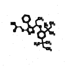 CCC(Oc1ccc(C(C)(C)CC)cc1C(C)(C)CC)c1nnc(SCC(=O)O)n1-c1ccccc1